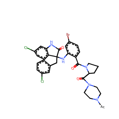 CC(=O)N1CCN(C(=O)C2CCCN2C(=O)c2ccc(Br)cc2NC2(Cc3cccc(Cl)c3)C(=O)Nc3cc(Cl)ccc32)CC1